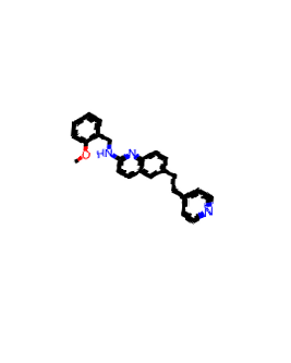 COc1ccccc1CNc1ccc2cc(CCc3ccncc3)ccc2n1